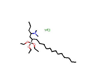 CCCCCCCCCCCCCC(CC(CCC)N(C)C)[Si](OCC)(OCC)OCC.Cl